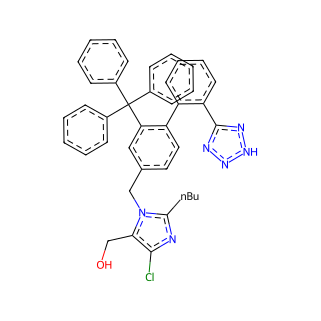 CCCCc1nc(Cl)c(CO)n1Cc1ccc(-c2ccccc2-c2nn[nH]n2)c(C(c2ccccc2)(c2ccccc2)c2ccccc2)c1